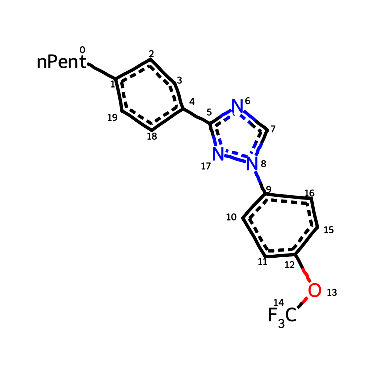 CCCCCc1ccc(-c2ncn(-c3ccc(OC(F)(F)F)cc3)n2)cc1